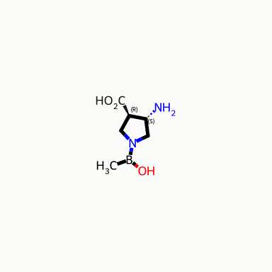 CB(O)N1C[C@@H](N)[C@H](C(=O)O)C1